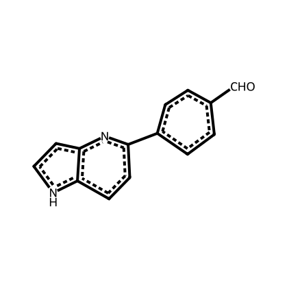 O=Cc1ccc(-c2ccc3[nH]ccc3n2)cc1